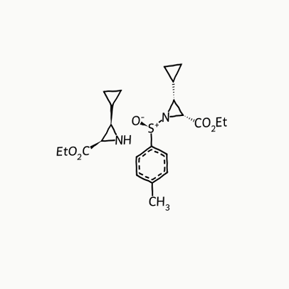 CCOC(=O)[C@@H]1N[C@@H]1C1CC1.CCOC(=O)[C@H]1[C@@H](C2CC2)N1[S@+]([O-])c1ccc(C)cc1